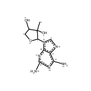 CC1(O)C(O)[CH]OC1n1cnc2c(N)nc(N)nc21